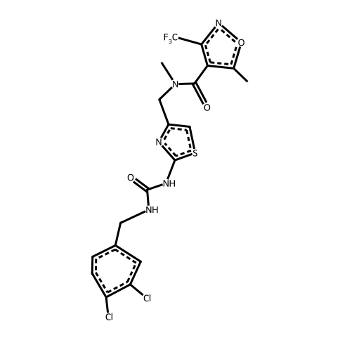 Cc1onc(C(F)(F)F)c1C(=O)N(C)Cc1csc(NC(=O)NCc2ccc(Cl)c(Cl)c2)n1